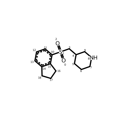 O=S(=O)(CC1CCCNC1)c1cccc2c1CCC2